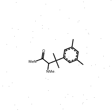 CNC(=O)C(NC)C(C)(C)c1cc(C)cc(C)c1